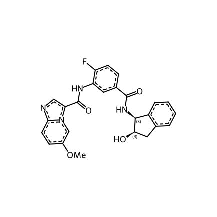 COc1ccc2ncc(C(=O)Nc3cc(C(=O)N[C@H]4c5ccccc5C[C@H]4O)ccc3F)n2c1